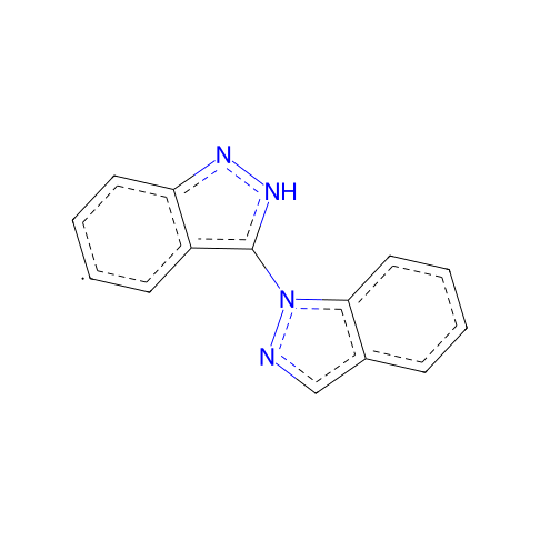 [c]1ccc2n[nH]c(-n3ncc4ccccc43)c2c1